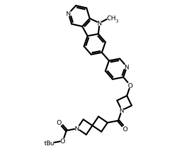 Cn1c2ccncc2c2ccc(-c3ccc(OC4CN(C(=O)C5CC6(C5)CN(C(=O)OC(C)(C)C)C6)C4)nc3)cc21